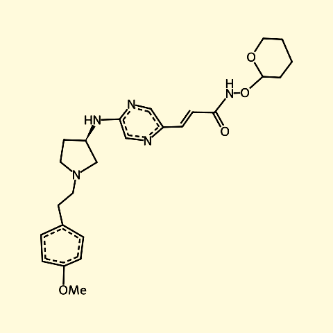 COc1ccc(CCN2CC[C@@H](Nc3cnc(/C=C/C(=O)NOC4CCCCO4)cn3)C2)cc1